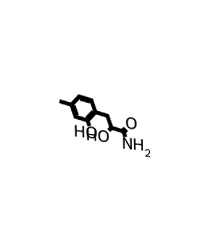 Cc1ccc(CC(O)C(N)=O)c(O)c1